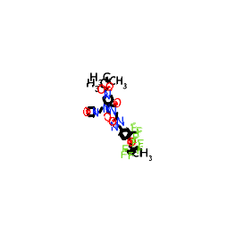 CC(C)(C)OC(=O)N1CCC2(CC1)C(=O)N(Cc1nc(-c3ccc(OCC(C)(C(F)(F)F)C(F)(F)F)c(C(F)(F)F)c3)no1)C(=O)N2CCN1CCOCC1